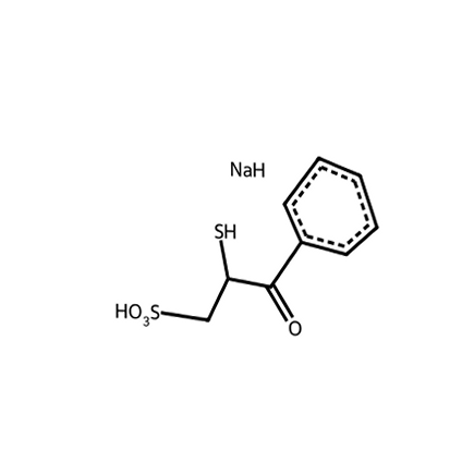 O=C(c1ccccc1)C(S)CS(=O)(=O)O.[NaH]